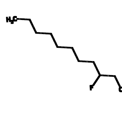 CCCCCCCCC(F)C[O]